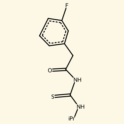 CC(C)NC(=S)NC(=O)Cc1cccc(F)c1